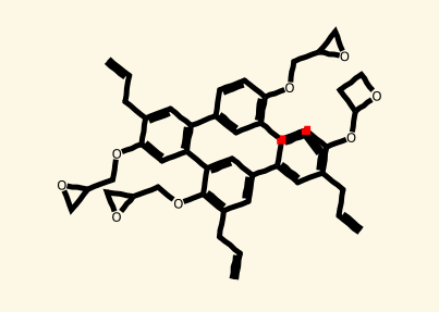 C=CCc1cc(-c2cc(CC=C)c(OCC3CO3)cc2-c2cc(-c3ccc(OC4CCO4)c(CC=C)c3)cc(CC=C)c2OCC2CO2)ccc1OCC1CO1